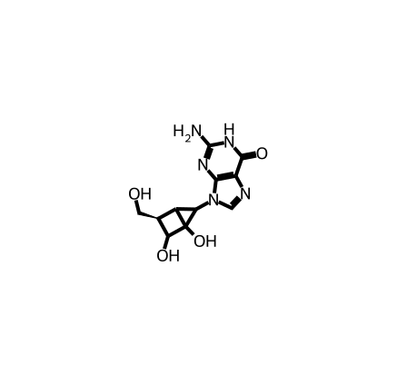 Nc1nc2c(ncn2C2C3[C@H](CO)C(O)C32O)c(=O)[nH]1